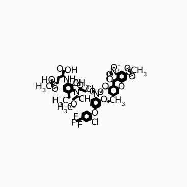 CCOc1cc(Oc2ccc(C(F)(F)F)cc2Cl)ccc1[N+](=O)[O-].CCc1cccc(C)c1N(C(=O)CCl)C(C)COC.CP(=O)(O)CCC(N)C(=O)O.CS(=O)(=O)c1ccc(C(=O)C2C(=O)CCCC2=O)c([N+](=O)[O-])c1